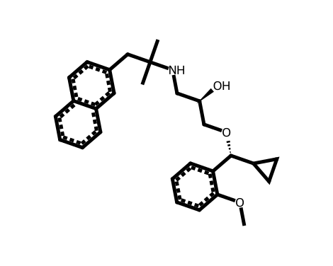 COc1ccccc1[C@H](OC[C@H](O)CNC(C)(C)Cc1ccc2ccccc2c1)C1CC1